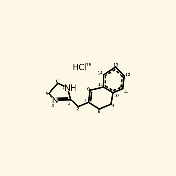 C1=C(CC2=NCCN2)CCc2ccccc21.Cl